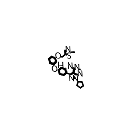 Cc1ncc(COc2cccc(Oc3ccc(-c4nn(C5CCCC5)c5ncnc(N)c45)cc3)c2)s1